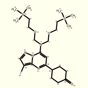 C[Si](C)(C)CCOCN(COCC[Si](C)(C)C)c1cc(C2CCC(=O)CC2)nc2c(I)cnn12